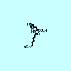 CCCCCCCCCCCCCCCCC(=O)NC(Cc1c[nH]cn1)C(=O)O